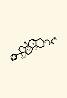 CC(C)(C)[Si](C)(C)O[C@H]1CC[C@@]2(C)C(=CC[C@@H]3[C@@H]2CC[C@@]2(C)[C@H]3CCC2(O)c2ccoc2)C1